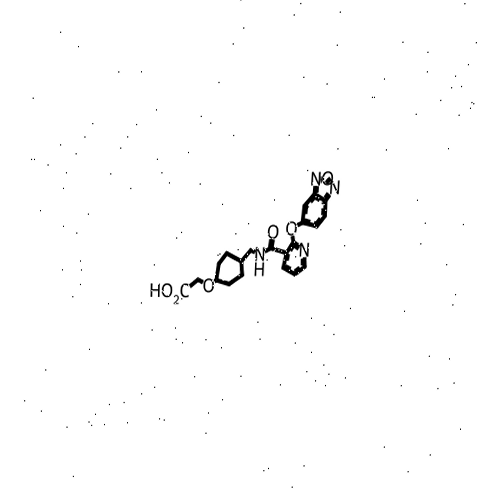 O=C(O)COC1CCC(CNC(=O)c2cccnc2Oc2ccc3nonc3c2)CC1